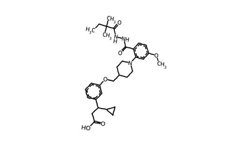 CCC(C)(C)C(=O)NNC(=O)c1ccc(OC)cc1N1CCC(COc2cccc(C(CC(=O)O)C3CC3)c2)CC1